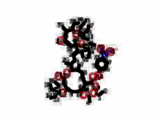 CCOC(C)OC1(C)CCC(O[Si](CC)(CC)CC)CC(=O)OC(C(C)C/C=C/C(C)(C=C2OC2C(C)C(CC)O[Si](CC)(CC)CC)O[Si](CC)(CC)CC)C(C)/C=C/C1C(=O)OOc1ccc([N+](=O)[O-])cc1